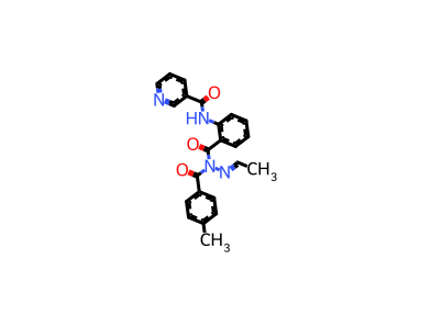 CC=NN(C(=O)c1ccc(C)cc1)C(=O)c1ccccc1NC(=O)c1cccnc1